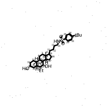 CC[C@H]1[C@@H](O)[C@@H]2[C@H](CC[C@]3(C)C(CCCCNS(=O)(=O)c4ccc(C(C)(C)C)cc4)CC[C@@H]23)[C@@]2(C)CC[C@@H](O)C[C@@H]12